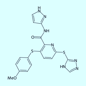 COc1ccc(Sc2ccc(Sc3nnc[nH]3)nc2C(=O)Nc2cc[nH]n2)cc1